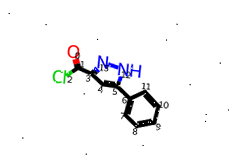 O=C(Cl)c1cc(-c2ccccc2)[nH]n1